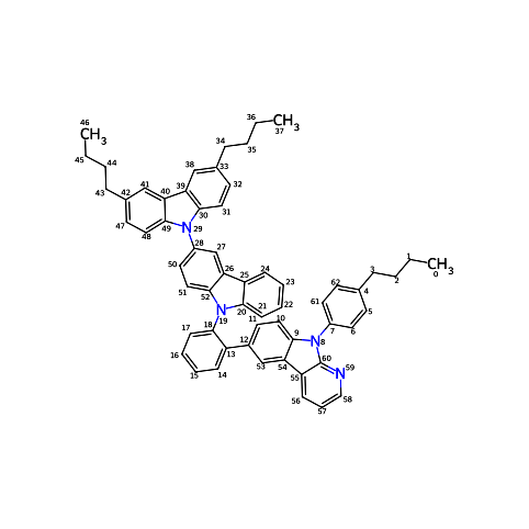 CCCCc1ccc(-n2c3ccc(-c4ccccc4-n4c5ccccc5c5cc(-n6c7ccc(CCCC)cc7c7cc(CCCC)ccc76)ccc54)cc3c3cccnc32)cc1